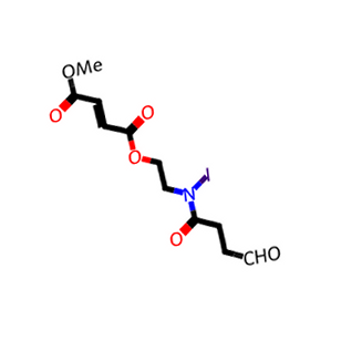 COC(=O)/C=C/C(=O)OCCN(I)C(=O)CCC=O